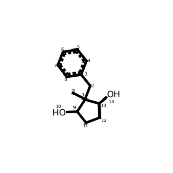 CC1(Cc2ccccc2)C(O)CCC1O